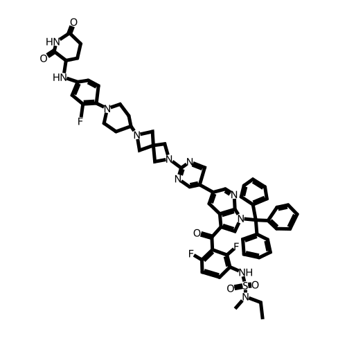 CCN(C)S(=O)(=O)Nc1ccc(F)c(C(=O)c2cn(C(c3ccccc3)(c3ccccc3)c3ccccc3)c3ncc(-c4cnc(N5CC6(C5)CN(C5CCN(c7ccc(NC8CCC(=O)NC8=O)cc7F)CC5)C6)nc4)cc23)c1F